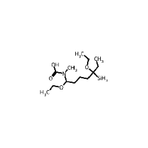 CCOC(CCCC([SiH3])(CC)OCC)N(C)C(=O)O